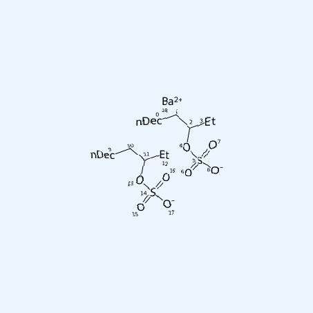 CCCCCCCCCCCC(CC)OS(=O)(=O)[O-].CCCCCCCCCCCC(CC)OS(=O)(=O)[O-].[Ba+2]